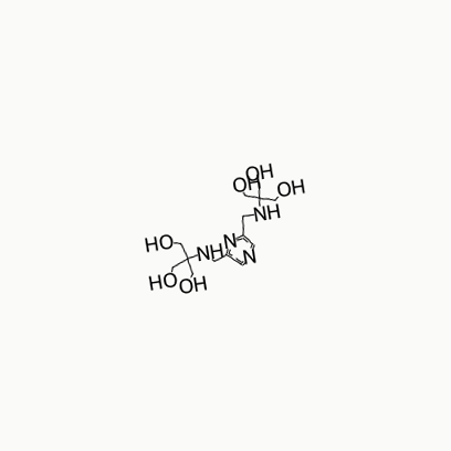 OCC(CO)(CO)NCc1cncc(CNC(CO)(CO)CO)n1